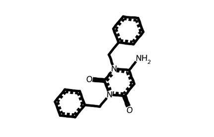 Nc1cc(=O)n(Cc2ccccc2)c(=O)n1Cc1ccccc1